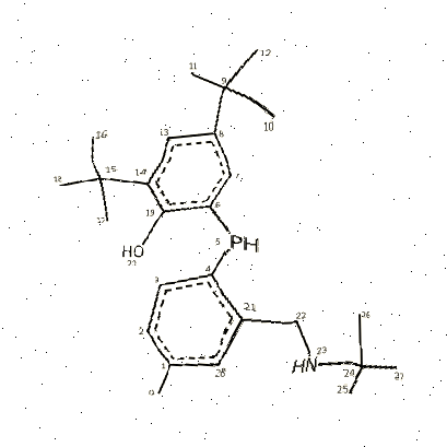 Cc1ccc(Pc2cc(C(C)(C)C)cc(C(C)(C)C)c2O)c(CNC(C)(C)C)c1